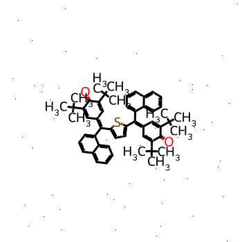 CC(C)(C)C1=CC(=C(c2ccc(C(=C3C=C(C(C)(C)C)C(=O)C(C(C)(C)C)=C3)c3cccc4ccccc34)s2)c2cccc3ccccc23)C=C(C(C)(C)C)C1=O